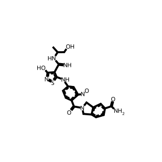 CC(CO)NC(=N)c1c(O)nsc1Nc1ccc(C(=O)N2Cc3ccc(C(N)=O)cc3C2)c(N=O)c1